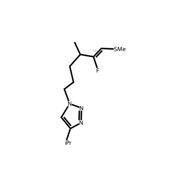 CS/C=C(\F)C(C)CCCn1cc(C(C)C)nn1